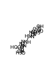 O=[PH](S)OC1[C@H](n2cnc3c(NC/C=C/CNc4ncnc5c4ncn5[C@@H]4O[C@H](CO)[C@@H](O[PH](=O)S)[C@H]4F)ncnc32)O[C@H](CO)[C@H]1O